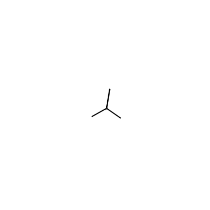 [C]C(C)C